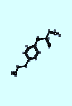 C=CC(=O)Oc1ccc(CCO)cc1